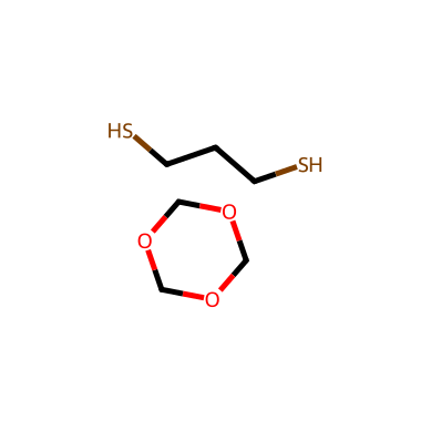 C1OCOCO1.SCCCS